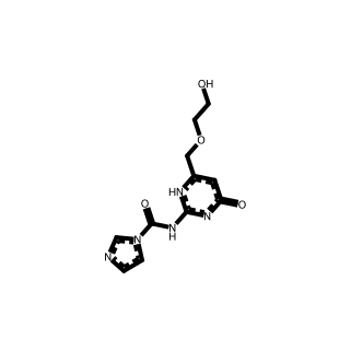 O=C(Nc1nc(=O)cc(COCCO)[nH]1)n1ccnc1